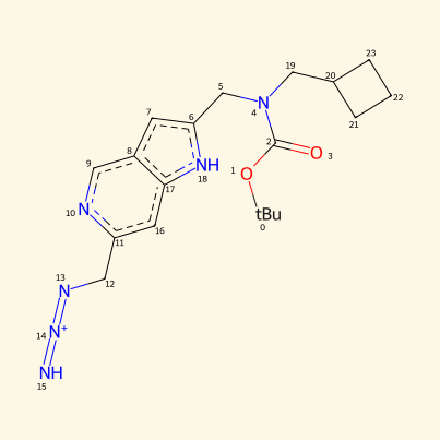 CC(C)(C)OC(=O)N(Cc1cc2cnc(CN=[N+]=N)cc2[nH]1)CC1CCC1